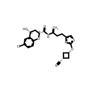 C=C(CCc1csc(O[C@H]2C[C@@H](C#N)C2)n1)NC(=O)[C@H]1C[C@@H](O)c2cc(Cl)ccc2O1